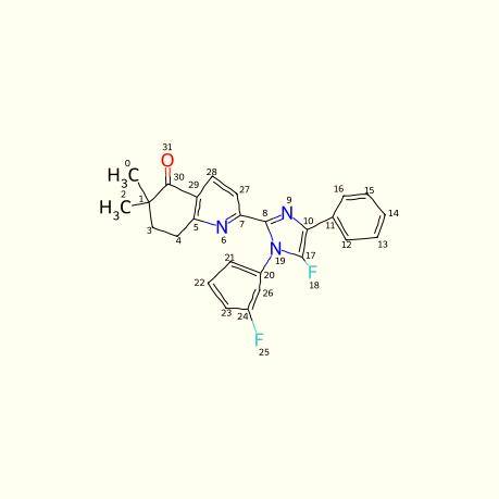 CC1(C)CCc2nc(-c3nc(-c4ccccc4)c(F)n3-c3cccc(F)c3)ccc2C1=O